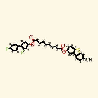 N#Cc1ccc2c(c1)sc1ccc(OC(=O)CCCCCCCCC(=O)Oc3ccc(-c4ccc(F)cc4)c(F)c3)cc12